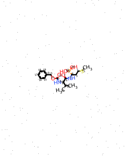 CSCCC(NC(=O)[C@@H](NC(=O)OCc1ccccc1)C(C)C)P(O)O